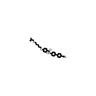 C=C(C)COCCCCCOc1ccc(C(=O)Nc2ccc(-c3ccc(C#N)cc3)cc2)cc1